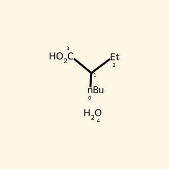 CCCCC(CC)C(=O)O.O